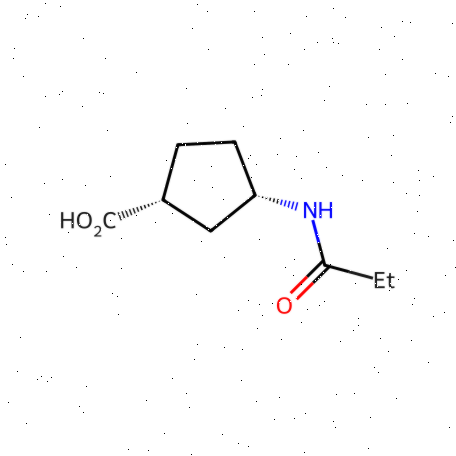 CCC(=O)N[C@H]1CC[C@@H](C(=O)O)C1